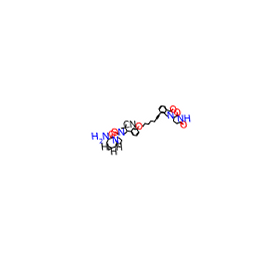 N#CC1CN(C(=O)[C@@H]2CC[C@@H]3C[C@H]4C[C@H]4C[C@H](N)C(=O)N32)CC1c1cccc(OCCCCCC#Cc2cccc3c2CN(C2CCC(=O)NC2=O)C3=O)c1